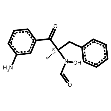 C[C@@](Cc1ccccc1)(C(=O)c1cccc(N)c1)N(O)C=O